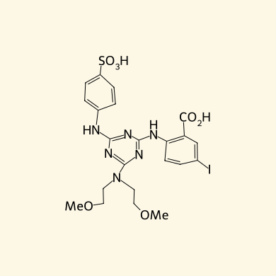 COCCN(CCOC)c1nc(Nc2ccc(S(=O)(=O)O)cc2)nc(Nc2ccc(I)cc2C(=O)O)n1